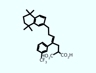 CC1(C)CCC(C)(C)c2cc(CC/C=C(/CC(C(=O)O)C(=O)O)c3cccc(C(F)(F)F)c3)ccc21